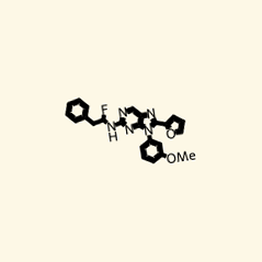 COc1cccc(-n2c(-c3ccco3)nc3cnc(NC(F)Cc4ccccc4)nc32)c1